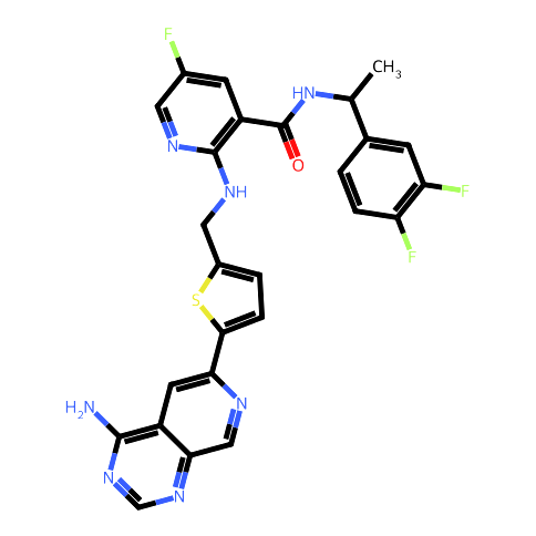 CC(NC(=O)c1cc(F)cnc1NCc1ccc(-c2cc3c(N)ncnc3cn2)s1)c1ccc(F)c(F)c1